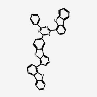 c1ccc(-c2nc(-c3ccc4sc5c(-c6cccc7c6oc6ccccc67)cccc5c4c3)nc(-c3cccc4c3oc3ccccc34)n2)cc1